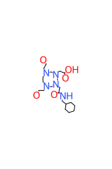 O=CCN1CCN(CC=O)CN(CC(=O)NCC2CCCCC2)CN(CC(=O)O)C1